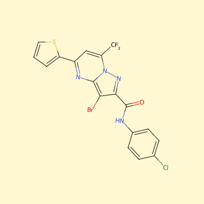 O=C(Nc1ccc(Cl)cc1)c1nn2c(C(F)(F)F)cc(-c3cccs3)nc2c1Br